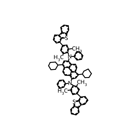 Cc1cc(-c2cccc3c2sc2ccccc23)cc(C)c1N(c1ccccc1)c1cc(C2CCCCC2)c2ccc3c(N(c4ccccc4)c4c(C)cc(-c5cccc6c5sc5ccccc56)cc4C)cc(C4CCCCC4)c4ccc1c2c43